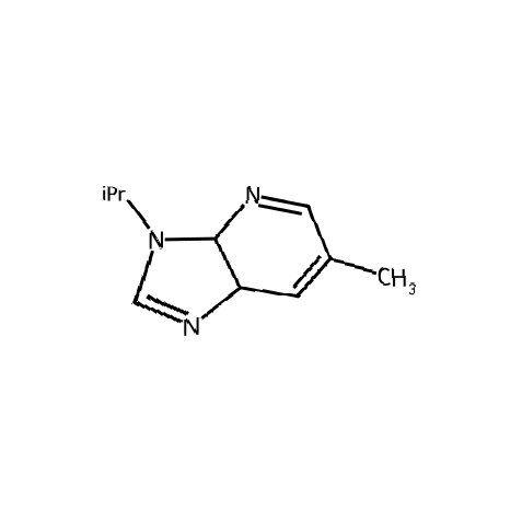 CC1=CC2N=CN(C(C)C)C2N=C1